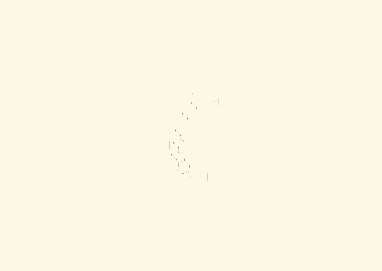 O=C(NCCN1CCN(C(=O)O)CC1)Nc1nc2ccc(O)cc2s1